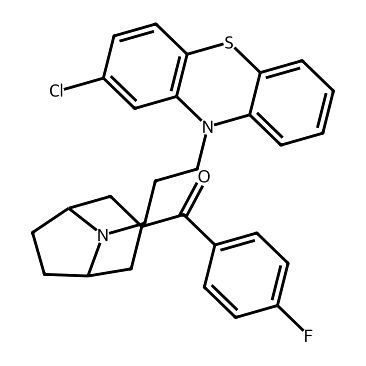 O=C(c1ccc(F)cc1)C1CC2CCC(C1)N2CCCN1c2ccccc2Sc2ccc(Cl)cc21